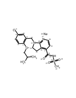 CC(C)COc1ccc(Cl)cc1CN1CCc2c(C(=O)NS(C)(=O)=O)ccnc21.[Na]